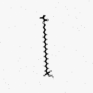 C=C(C)C(=O)OCCCCCCCCCCCCCCCCCCCCC([SiH3])(I)I